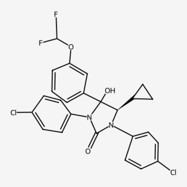 O=C1N(c2ccc(Cl)cc2)[C@H](C2CC2)C(O)(c2cccc(OC(F)F)c2)N1c1ccc(Cl)cc1